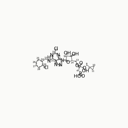 O=P(O)(O)CP(=O)(OCC1CC1)OC[C@H]1O[C@@H](n2nnc3c(NCc4ccccc4Cl)nc(Cl)nc32)[C@H](O)[C@@H]1O